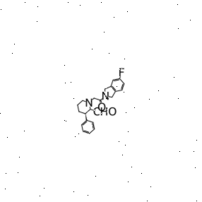 O=CC1[C@@H](c2ccccc2)CCCN1CC(=O)N1Cc2ccc(F)cc2C1